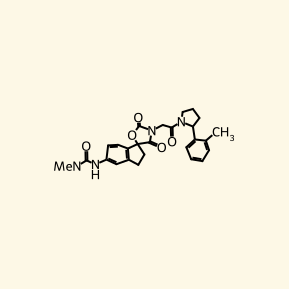 CNC(=O)Nc1ccc2c(c1)CCC21OC(=O)N(CC(=O)N2CCCC2c2ccccc2C)C1=O